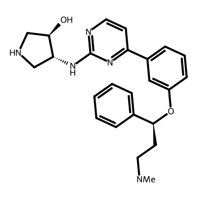 CNCC[C@H](Oc1cccc(-c2ccnc(N[C@@H]3CNC[C@H]3O)n2)c1)c1ccccc1